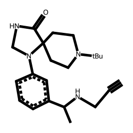 C#CCNC(C)c1cccc(N2CNC(=O)C23CCN(C(C)(C)C)CC3)c1